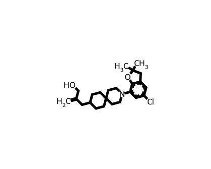 C=C(CO)CC1CCC2(CC1)CCN(c1cc(Cl)cc3c1OC(C)(C)C3)CC2